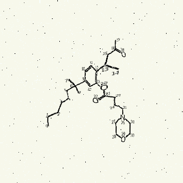 CCCCCCC(C)(C)c1ccc(C(C)CC(C)=O)c(OC(=O)CCCN2CCOCC2)c1